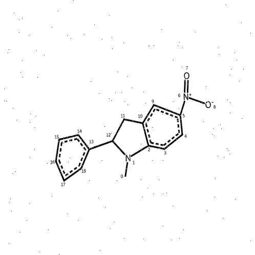 CN1c2ccc([N+](=O)[O-])cc2CC1c1ccccc1